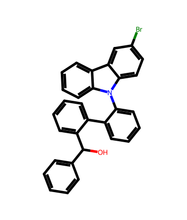 OC(c1ccccc1)c1ccccc1-c1ccccc1-n1c2ccccc2c2cc(Br)ccc21